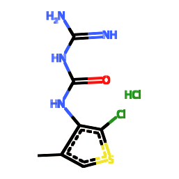 Cc1csc(Cl)c1NC(=O)NC(=N)N.Cl